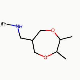 CC(C)NCC1COC(C)C(C)OC1